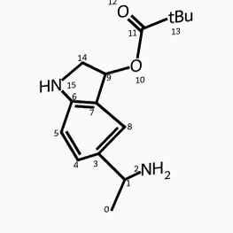 CC(N)c1ccc2c(c1)C(OC(=O)C(C)(C)C)CN2